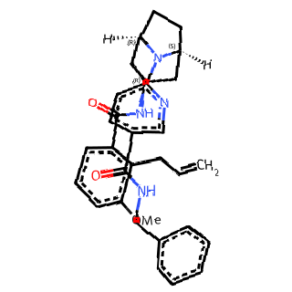 C=CCc1c(OC)cccc1C(=O)N[C@H]1C[C@H]2CC[C@@H](C1)N2c1ccc(C(=O)NCc2ccccc2)cn1